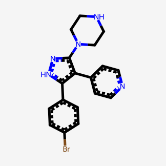 Brc1ccc(-c2[nH]nc(N3CCNCC3)c2-c2ccncc2)cc1